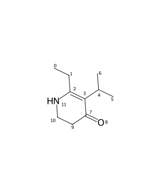 CCC1=C(C(C)C)C(=O)CCN1